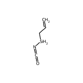 C=CC[SiH2]N=C=O